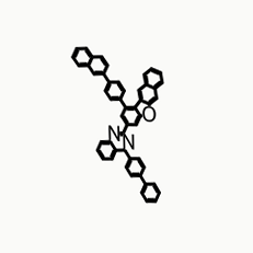 c1ccc(-c2ccc(-c3nc(-c4cc(-c5ccc(-c6ccc7ccccc7c6)cc5)c5c(c4)oc4cc6ccccc6cc45)nc4ccccc34)cc2)cc1